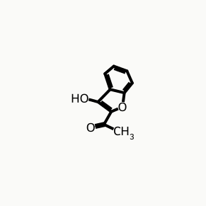 CC(=O)c1oc2ccccc2c1O